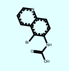 O=C(O)Nc1ccc2ncccc2c1Br